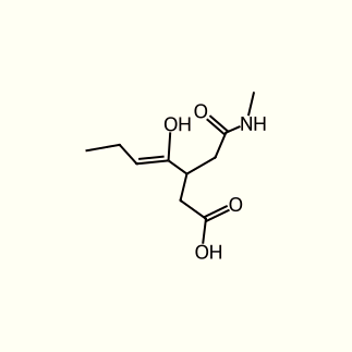 CCC=C(O)C(CC(=O)O)CC(=O)NC